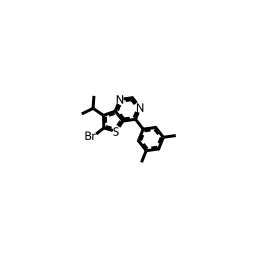 Cc1cc(C)cc(-c2ncnc3c(C(C)C)c(Br)sc23)c1